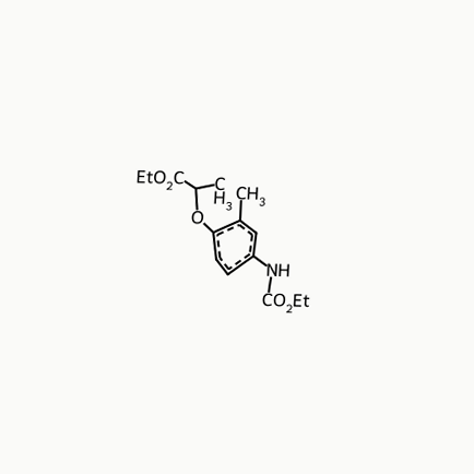 CCOC(=O)Nc1ccc(OC(C)C(=O)OCC)c(C)c1